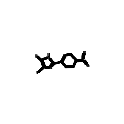 O=S(=O)=C1C=CC(c2nc(F)c(F)[nH]2)=CC1